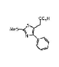 [CH2]Sc1nc(-c2ccccc2)c(CC(=O)O)s1